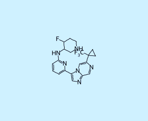 FC1CCNCC1Nc1cccc(-c2cnc3cnc(C4(C(F)(F)F)CC4)cn23)n1